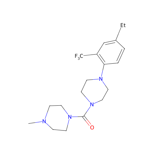 CCc1ccc(N2CCN(C(=O)N3CCN(C)CC3)CC2)c(C(F)(F)F)c1